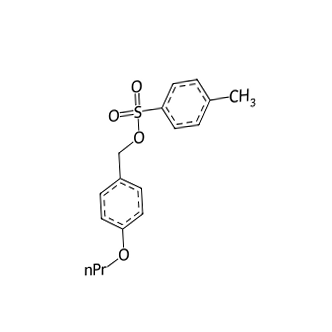 CCCOc1ccc(COS(=O)(=O)c2ccc(C)cc2)cc1